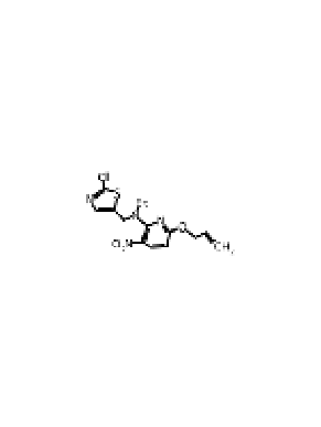 C=CCOc1ccc([N+](=O)[O-])c(N(CC)Cc2cnc(Cl)s2)n1